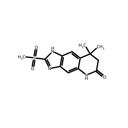 CC1(C)CC(=O)Nc2cc3nc(S(C)(=O)=O)[nH]c3cc21